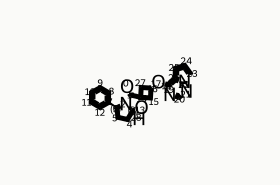 O=C1N2[C@@H](CC[C@H]2c2ccccc2)OC12CC(Oc1ncnn3cccc13)C2